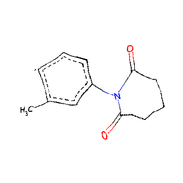 Cc1[c]ccc(N2C(=O)CCCC2=O)c1